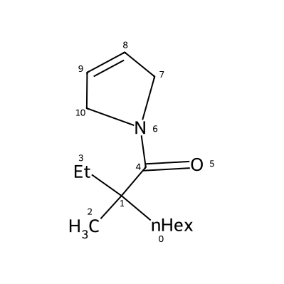 CCCCCCC(C)(CC)C(=O)N1CC=CC1